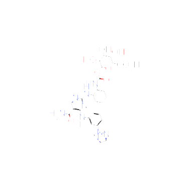 NC(=O)c1cnc(NC2CCCCC2NC(=O)O[C@@H]2OC(C(=O)O)[C@@H](O)[C@H](O)[C@H]2O)nc1Nc1cccc(-n2nccn2)c1